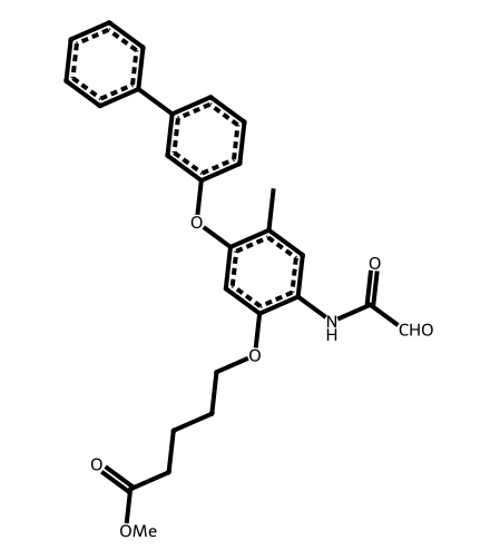 COC(=O)CCCCOc1cc(Oc2cccc(-c3ccccc3)c2)c(C)cc1NC(=O)C=O